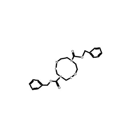 O=C(OCc1ccccc1)N1CC[N]CCN(C(=O)OCc2ccccc2)CCOCC1